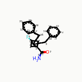 NC(=O)C12CC(F)(C1)C2(Cc1ccccc1)Cc1ccccc1